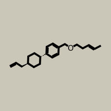 C=CC[C@H]1CC[C@H](c2ccc(COCC/C=C/C)cc2)CC1